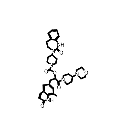 Cc1cc(CC(OC(=O)N2CCC(N3CCc4ccccc4NC3=O)CC2)C(=O)N2CCC(N3CCOCC3)CC2)cc2ccc(=O)[nH]c12